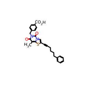 Cc1c(=O)n(Cc2ccc(C(=O)O)cc2)c(=O)n2cc(C#CCCCCc3ccccc3)sc12